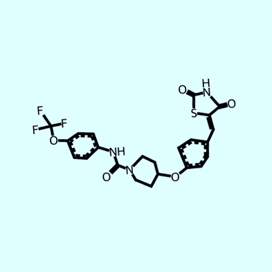 O=C1NC(=O)/C(=C/c2ccc(OC3CCN(C(=O)Nc4ccc(OC(F)(F)F)cc4)CC3)cc2)S1